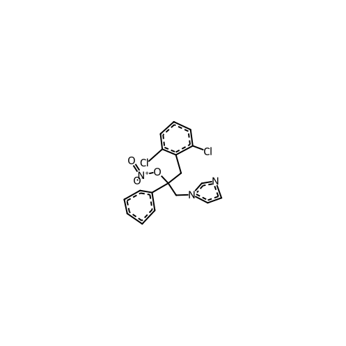 O=[N+]([O-])OC(Cc1c(Cl)cccc1Cl)(Cn1ccnc1)c1ccccc1